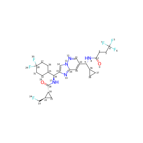 O=C(CCC(F)(F)F)N[C@@H](c1cnn2cc([C@@H](NC(=O)[C@@H]3C[C@H]3CF)C3CCC(F)(F)CC3)nc2c1)C1CC1